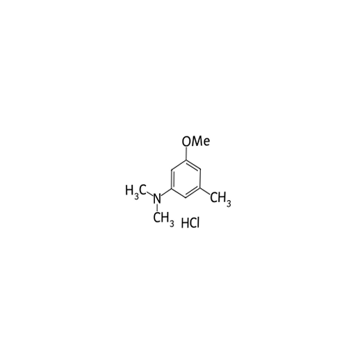 COc1cc(C)cc(N(C)C)c1.Cl